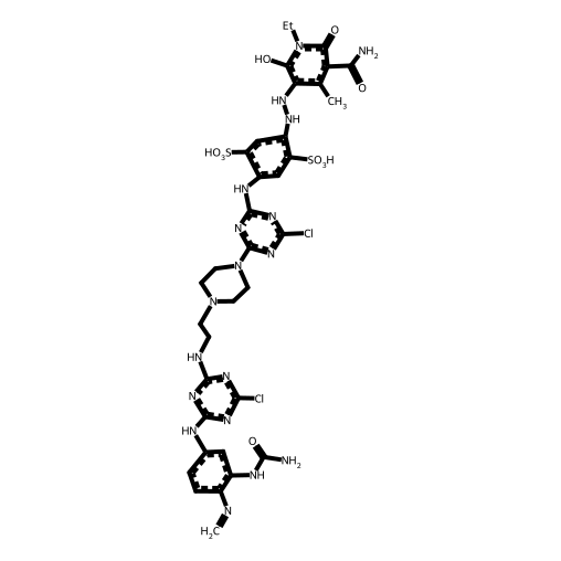 C=Nc1ccc(Nc2nc(Cl)nc(NCCN3CCN(c4nc(Cl)nc(Nc5cc(S(=O)(=O)O)c(NNc6c(C)c(C(N)=O)c(=O)n(CC)c6O)cc5S(=O)(=O)O)n4)CC3)n2)cc1NC(N)=O